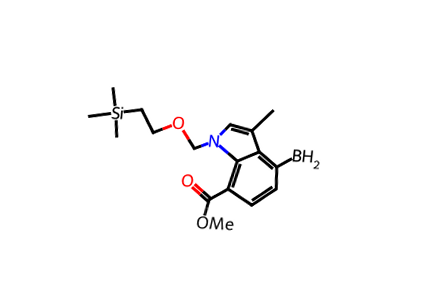 Bc1ccc(C(=O)OC)c2c1c(C)cn2COCC[Si](C)(C)C